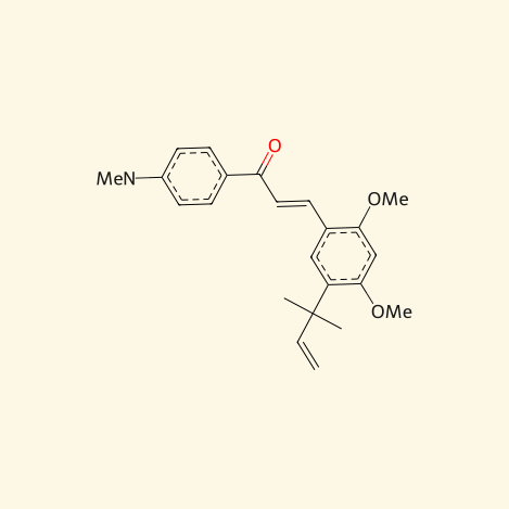 C=CC(C)(C)c1cc(/C=C/C(=O)c2ccc(NC)cc2)c(OC)cc1OC